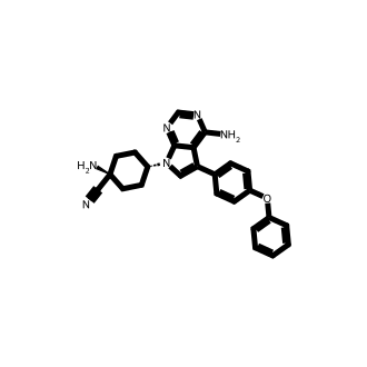 N#C[C@]1(N)CC[C@H](n2cc(-c3ccc(Oc4ccccc4)cc3)c3c(N)ncnc32)CC1